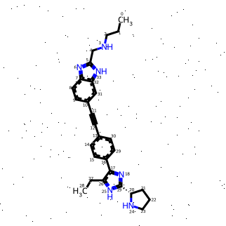 CCCNCc1nc2ccc(C#Cc3ccc(-c4nc([C@@H]5CCCN5)[nH]c4CC)cc3)cc2[nH]1